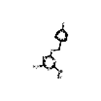 CC(C)Nc1nc(N)nc(NCc2ccc(Cl)cc2)n1